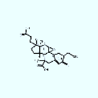 CCC1C[C@@]2(C)C(=CC1=O)CC(C)(C(=O)O)[C@H]1[C@@H]3CC[C@](O)(CCC(=O)O)[C@@]3(C)CC3OC312